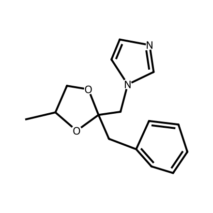 CC1COC(Cc2ccccc2)(Cn2ccnc2)O1